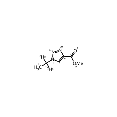 [2H]C([2H])(C)n1cc(C(=O)OC)nn1